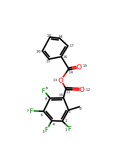 Cc1c(F)c(F)c(F)c(F)c1C(=O)OC(=O)c1ccccc1